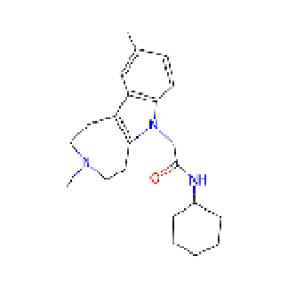 Cc1ccc2c(c1)c1c(n2CC(=O)NC2CCCCC2)CCN(C)CC1